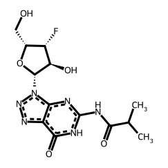 CC(C)C(=O)Nc1nc2c(nnn2[C@@H]2O[C@H](CO)[C@H](F)[C@H]2O)c(=O)[nH]1